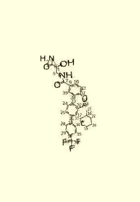 NC(=O)[C@@H](O)CNC(=O)c1ccc(O[C@H](CC2CCCCC2)c2cccc(-c3ccc(C(F)(F)F)cc3)c2)cc1